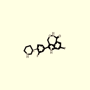 O=C1NOCc2c(-c3ccc([C@@H]4CCCNC4)c(F)c3)[nH]c3cc(F)cc1c23